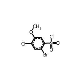 COc1cc(S(=O)(=O)Cl)c(Br)cc1Cl